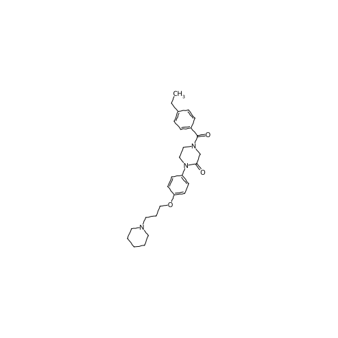 CCc1ccc(C(=O)N2CCN(c3ccc(OCCCN4CCCCC4)cc3)C(=O)C2)cc1